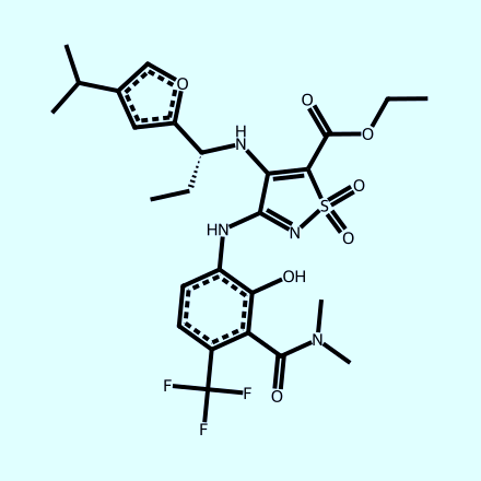 CCOC(=O)C1=C(N[C@H](CC)c2cc(C(C)C)co2)C(Nc2ccc(C(F)(F)F)c(C(=O)N(C)C)c2O)=NS1(=O)=O